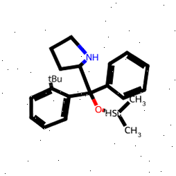 C[SiH](C)OC(c1ccccc1)(c1ccccc1C(C)(C)C)C1CCCN1